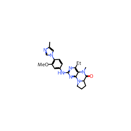 CCc1nc(Nc2ccc(-n3cnc(C)c3)c(OC)c2)nc2c1N(C)C(=O)C1CCCN21